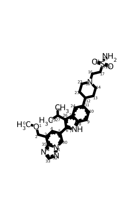 COCc1cc(-c2[nH]c3ccc(C4CCN(CCS(N)(=O)=O)CC4)cc3c2C(C)C)cn2ncnc12